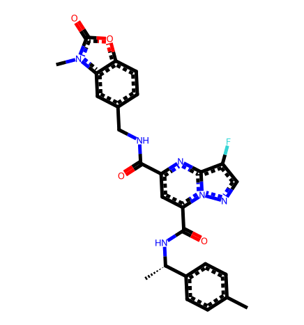 Cc1ccc([C@H](C)NC(=O)c2cc(C(=O)NCc3ccc4oc(=O)n(C)c4c3)nc3c(F)cnn23)cc1